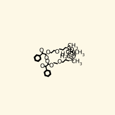 C[Si](C)(CCCOCCOC(=O)C(=O)c1ccccc1)O[Si](C)(C)O[Si](C)(C)CCCOCCOC(=O)C(=O)c1ccccc1